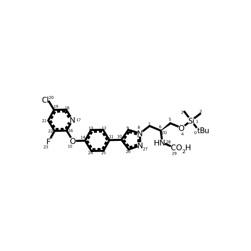 CC(C)(C)[Si](C)(C)OC[C@H](Cn1cc(-c2ccc(Oc3ncc(Cl)cc3F)cc2)cn1)NC(=O)O